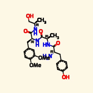 COc1ccc(C[C@H](NC(=O)[C@@H](C)NC(=O)[C@@H](N)Cc2ccc(O)cc2)C(=O)N[C@H](C)CO)cc1OC